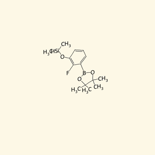 C[SiH](C)Oc1cccc(B2OC(C)(C)C(C)(C)O2)c1F